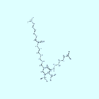 CC(C)CCCCCOC(=O)CCCCCCCCCC(C(C)C)C(C(=O)OCCCCCC(C)C)C(C)C